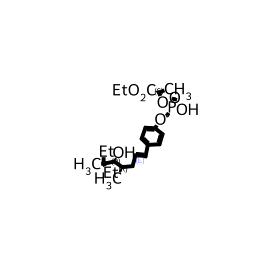 CCOC(=O)[C@H](C)OP(=O)(O)COc1ccc(/C=C/C[C@@H](C)[C@@H](O)C(C)(CC)CC)cc1